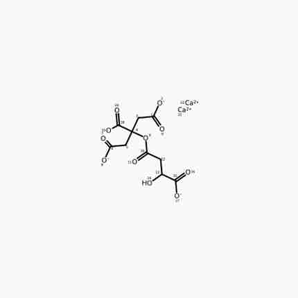 O=C([O-])CC(CC(=O)[O-])(OC(=O)CC(O)C(=O)[O-])C(=O)[O-].[Ca+2].[Ca+2]